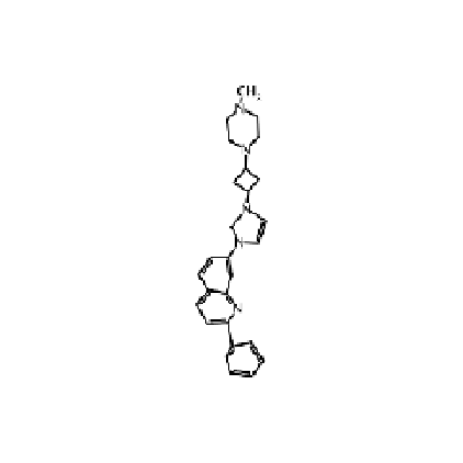 CN1CCN(C2CC(N3C=CN(c4ccc5ccc(-c6ccccc6)nc5c4)C3)C2)CC1